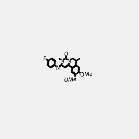 COc1cc2c(cc1OC)C(C)Cn1c-2cc(=Nc2ccc(F)cc2)n(C)c1=O